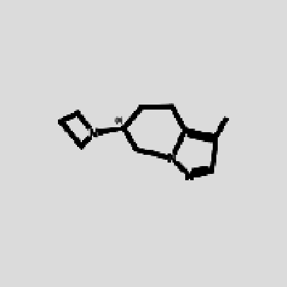 Cc1cnn2c1CC[C@H](N1CCC1)C2